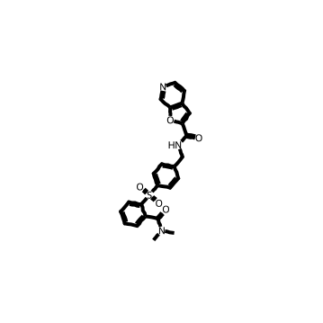 CN(C)C(=O)c1ccccc1S(=O)(=O)c1ccc(CNC(=O)c2cc3ccncc3o2)cc1